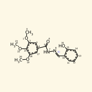 COc1cc(C(=O)N/N=C/c2ccccc2O)cc(OC)c1OC